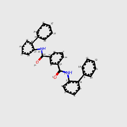 O=C(Nc1ccccc1-c1ccccc1)c1cccc(C(=O)Nc2ccccc2-c2ccccc2)c1